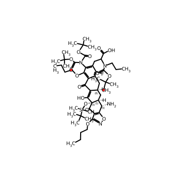 CCCCOc1noc2c1C(=O)[C@@]1(O[Si](C)(C)C(C)(C)C)C(O)=C3C(=O)c4c(c(F)c(CC(C(=O)O)N(CCC)C(=O)OC(C)(C)C)c(N(C(=O)OC(C)(C)C)C(=O)OC(C)(C)C)c4OCCCC)C[C@H]3C[C@H]1[C@@H]2N